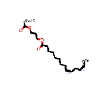 CCC/C=C\C/C=C\CCCCCCCC(=O)OCCCOC(=O)CCCCC